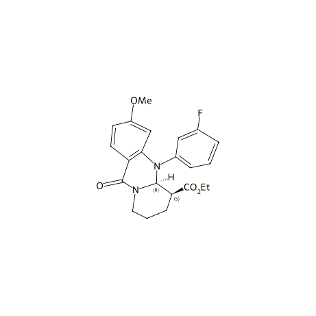 CCOC(=O)[C@H]1CCCN2C(=O)c3ccc(OC)cc3N(c3cccc(F)c3)[C@@H]12